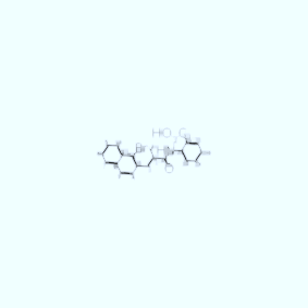 CC(=Cc1ccc2ccccc2c1Br)C(=O)Nc1ccccc1C(=O)O